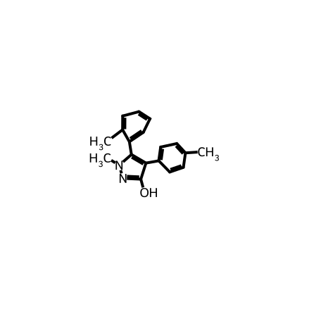 Cc1ccc(-c2c(O)nn(C)c2-c2ccccc2C)cc1